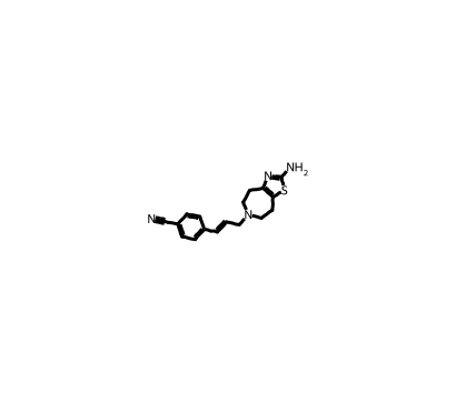 N#Cc1ccc(C=CCN2CCc3nc(N)sc3CC2)cc1